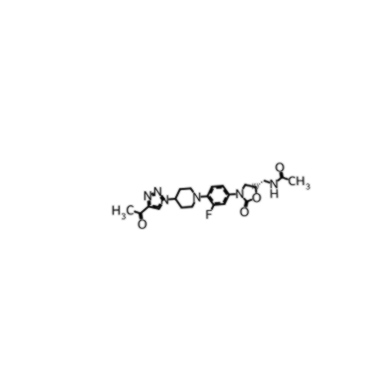 CC(=O)NC[C@H]1CN(c2ccc(N3CCC(n4cc(C(C)=O)nn4)CC3)c(F)c2)C(=O)O1